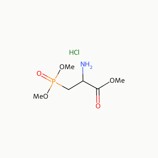 COC(=O)C(N)CP(=O)(OC)OC.Cl